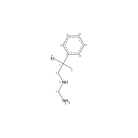 CCC(C)(CNCN)c1ccccc1